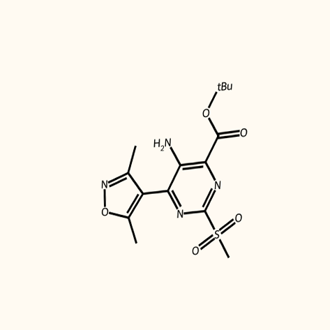 Cc1noc(C)c1-c1nc(S(C)(=O)=O)nc(C(=O)OC(C)(C)C)c1N